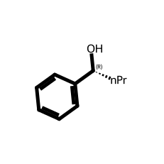 CCC[C@@H](O)c1ccccc1